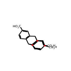 O=C(O)c1ccc2c(c1)C1c3cc(C(=O)O)ccc3C2c2ccc(C(=O)O)cc21